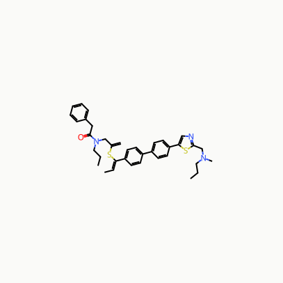 C=C(CN(CCC)C(=O)Cc1ccccc1)S/C(=C\C)c1ccc(-c2ccc(-c3cnc(CN(C)CCC)s3)cc2)cc1